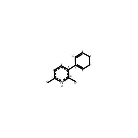 Cc1ccc(C2=CCCC=C2)c(C)n1